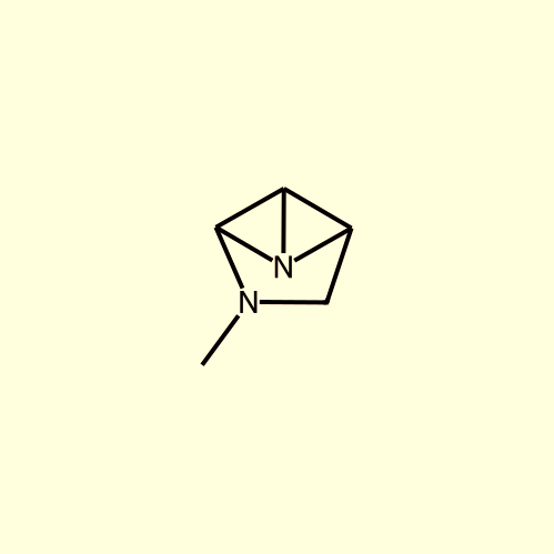 CN1CC2C3C1N23